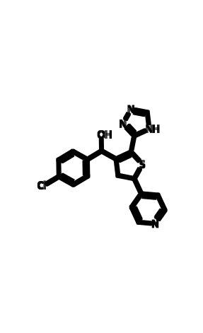 OC(C1=C(c2nnc[nH]2)SC(c2ccncc2)C1)c1ccc(Cl)cc1